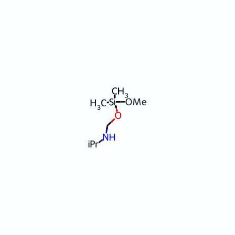 CO[Si](C)(C)OCNC(C)C